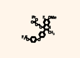 COc1cc2nc(C)c(-c3ccc(Oc4ccc(OC(F)(F)F)cc4)cc3)c(OCOC(=O)OC(C)C)c2cc1F